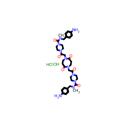 CN(Cc1ccc(N)cc1)C(=O)N1CCN(C(=O)CN2CCC(=O)N(CC(=O)N3CCN(C(=O)N(C)Cc4ccc(N)cc4)CC3)CCC2=O)CC1.Cl.Cl